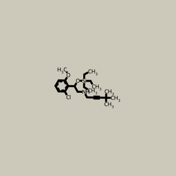 CC[Si](CC)(CC)OC(CNCC#CC(C)(C)C)c1c(Cl)cccc1OC